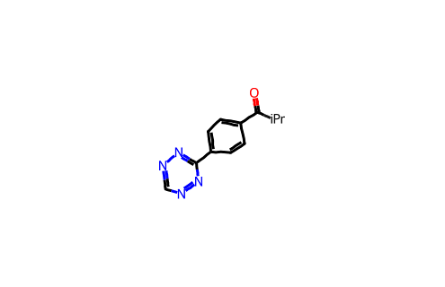 CC(C)C(=O)c1ccc(-c2nncnn2)cc1